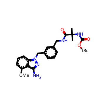 COc1cccc2c1c(N)nn2Cc1cccc(CNC(=O)C(C)(C)NC(=O)OC(C)(C)C)c1